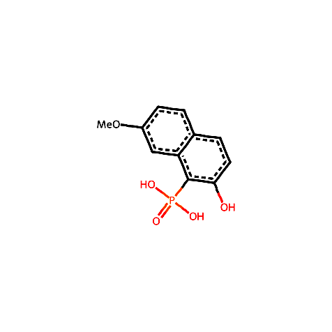 COc1ccc2ccc(O)c(P(=O)(O)O)c2c1